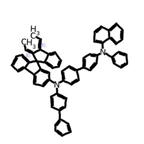 C/C=C1\C(=C/C)C2(c3ccccc31)c1ccccc1-c1ccc(N(c3ccc(-c4ccccc4)cc3)c3ccc(-c4ccc(N(c5ccccc5)c5cccc6ccccc56)cc4)cc3)cc12